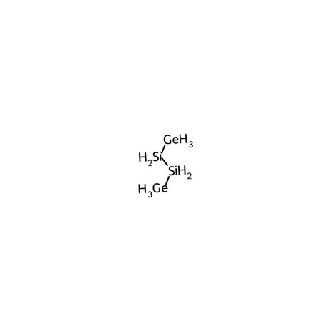 [GeH3][SiH2][SiH2][GeH3]